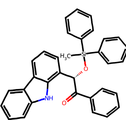 C[Si](O[C@H](C(=O)c1ccccc1)c1cccc2c1[nH]c1ccccc12)(c1ccccc1)c1ccccc1